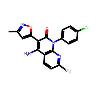 Cc1cc(-c2c(N)c3ccc(C(F)(F)F)nc3n(-c3ccc(Cl)cc3)c2=O)on1